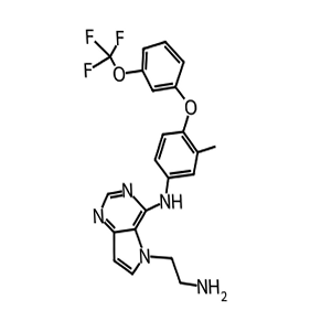 Cc1cc(Nc2ncnc3ccn(CCN)c23)ccc1Oc1cccc(OC(F)(F)F)c1